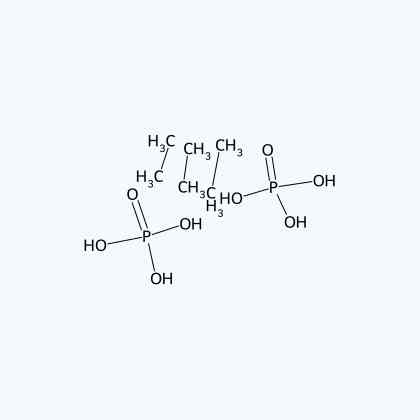 CC.CC.CC.O=P(O)(O)O.O=P(O)(O)O